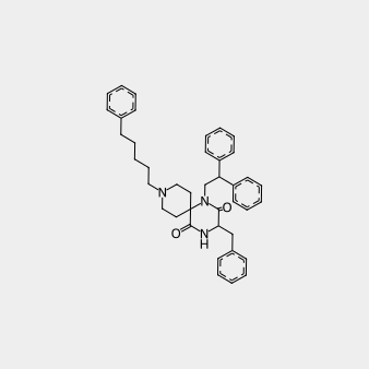 O=C1C(Cc2ccccc2)NC(=O)C2(CCN(CCCCCc3ccccc3)CC2)N1CC(c1ccccc1)c1ccccc1